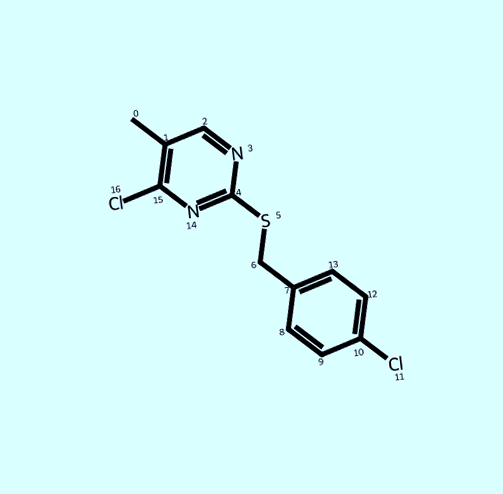 Cc1cnc(SCc2ccc(Cl)cc2)nc1Cl